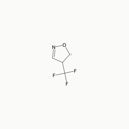 FC(F)(F)C1[C]ON=C1